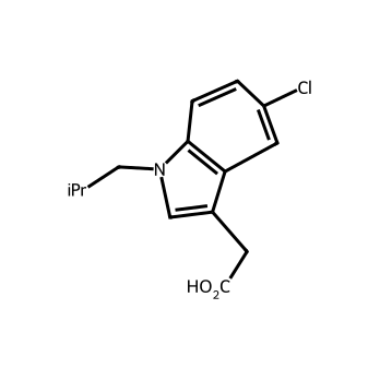 CC(C)Cn1cc(CC(=O)O)c2cc(Cl)ccc21